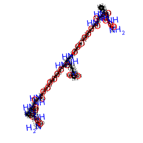 NC(=O)COCNC(=O)CNC(=O)[C@H](Cc1ccccc1)NC(=O)CNC(=O)CNC(=O)CCOCCOCCOCCOCCOCCOCCNCCC(CCNCCOCCOCCOCCOCCOCCOCCC(=O)NCC(=O)NCC(=O)N[C@@H](Cc1ccccc1)C(=O)NCC(=O)NCOCC(N)=O)NC(=O)CCCCCN1C(=O)C=CC1=O